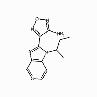 CCC(C)n1c(-c2nonc2N)nc2cnccc21